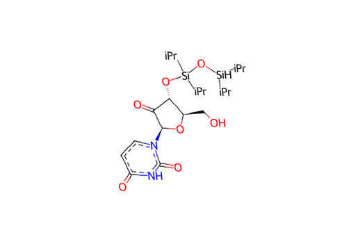 CC(C)[SiH](O[Si](O[C@H]1C(=O)[C@H](n2ccc(=O)[nH]c2=O)O[C@@H]1CO)(C(C)C)C(C)C)C(C)C